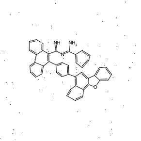 N=C(/N=C(\N)c1ccccc1)c1c(-c2ccc(-c3cc4c5ccccc5oc4c4ccccc34)cc2)c2ccccc2c2ccccc12